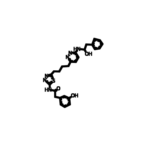 O=C(Cc1cccc(O)c1)Nc1nnc(CCCCc2ccc(NC(O)Cc3ccccc3)nn2)s1